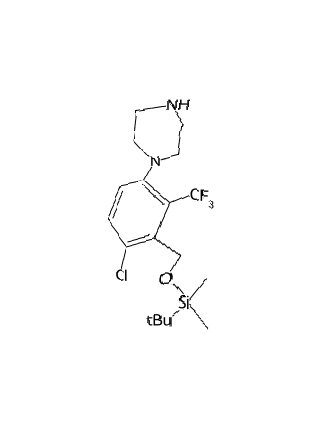 CC(C)(C)[Si](C)(C)OCc1c(Cl)ccc(N2CCNCC2)c1C(F)(F)F